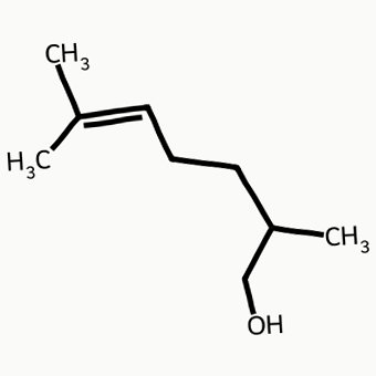 CC(C)=CCCC(C)CO